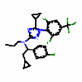 CCCN(c1nc(C2CC2)n(-c2c(Cl)cc(C(F)(F)F)cc2Cl)n1)C(CC1CC1)c1ccc(F)cc1